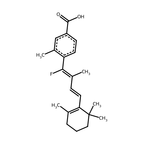 CC1=C(/C=C/C(C)=C(\F)c2ccc(C(=O)O)cc2C)C(C)(C)CCC1